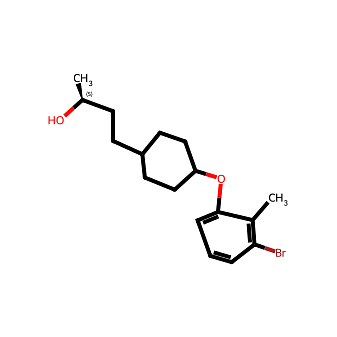 Cc1c(Br)cccc1OC1CCC(CC[C@H](C)O)CC1